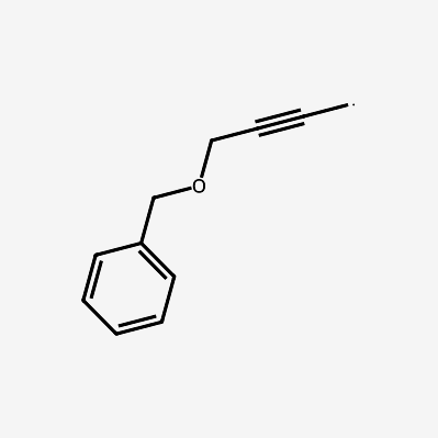 [CH2]C#CCOCc1ccccc1